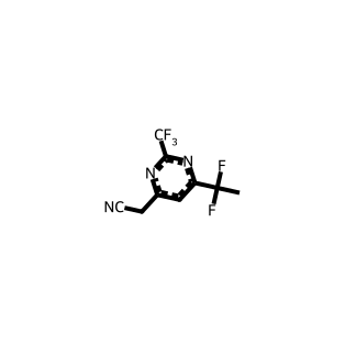 CC(F)(F)c1cc(CC#N)nc(C(F)(F)F)n1